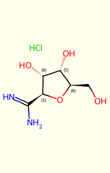 Cl.N=C(N)[C@@H]1O[C@H](CO)[C@@H](O)[C@H]1O